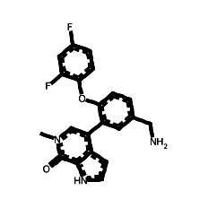 Cn1cc(-c2cc(CN)ccc2Oc2ccc(F)cc2F)c2cc[nH]c2c1=O